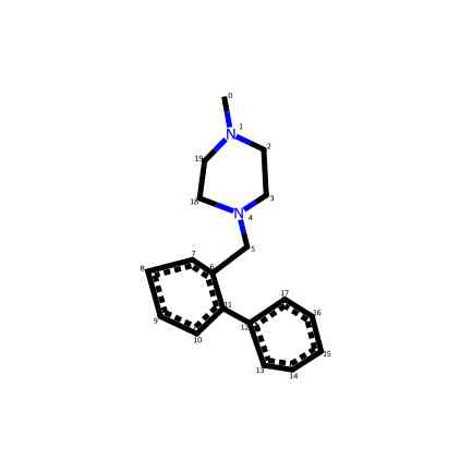 CN1CCN(Cc2ccccc2-c2ccccc2)CC1